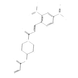 C=CC(=O)OC1CCN(C(=O)/C=C/c2ccc([N+](=O)[O-])cc2[N+](=O)[O-])CC1